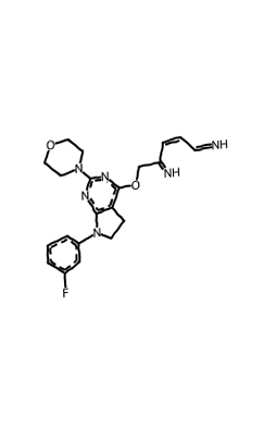 N=C/C=C\C(=N)COc1nc(N2CCOCC2)nc2c1CCN2c1cccc(F)c1